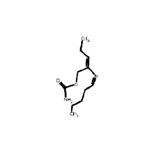 CC/C=C(COC(N)=O)/N=C\CCCC